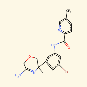 CC1(c2cc(Br)cc(NC(=O)c3ccc(C(F)(F)F)cn3)c2)COCC(N)=N1